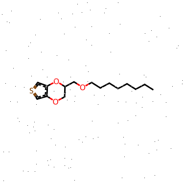 CCCCCCCCOCC1COc2cscc2O1